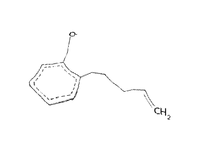 C=CCCc1ccccc1[O]